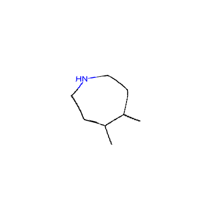 CC1CCNCCC1C